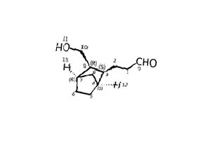 O=CCC[C@H]1[C@H]2CC[C@H](C2)[C@H]1CO